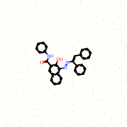 O=C(Nc1ccccc1)c1cc2ccccc2c(N=NC(=Cc2ccccc2)c2ccccc2)c1O